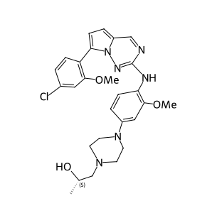 COc1cc(N2CCN(C[C@H](C)O)CC2)ccc1Nc1ncc2ccc(-c3ccc(Cl)cc3OC)n2n1